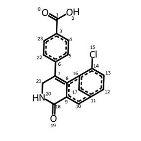 O=C(O)c1ccc(C2=c3c(cc4ccc(Cl)c3c4)C(=O)NC2)cc1